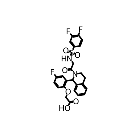 O=C(O)COc1ccc(F)cc1C1c2ccccc2CCN1C(=O)CNS(=O)(=O)c1ccc(F)c(F)c1